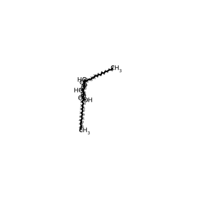 CCCCCCCCCCCCCCCCC(O)C(=O)OOCC(O)COOC(=O)C(O)CCCCCCCCCCCCCCCC